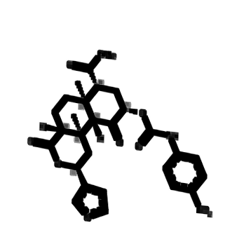 COC(=O)[C@@H]1C[C@H](OC(=O)Nc2ccc([N+](=O)[O-])cc2)C(=O)[C@H]2[C@@]1(C)CC[C@H]1C(=O)O[C@H](c3ccoc3)C[C@]21C